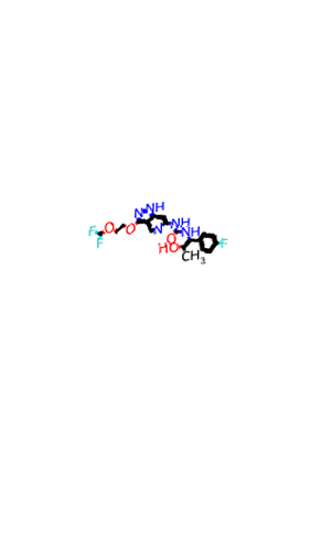 CC(O)C(NC(=O)Nc1cc2[nH]nc(OCCOC(F)F)c2cn1)c1ccc(F)cc1